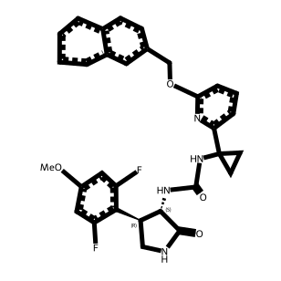 COc1cc(F)c([C@@H]2CNC(=O)[C@H]2NC(=O)NC2(c3cccc(OCc4ccc5ccccc5c4)n3)CC2)c(F)c1